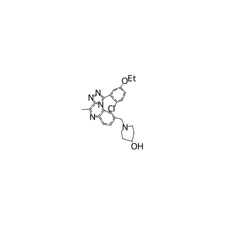 CCOc1ccc(Cl)c(-c2nnc3c(C)nc4ccc(CN5CCC(O)CC5)cc4n23)c1